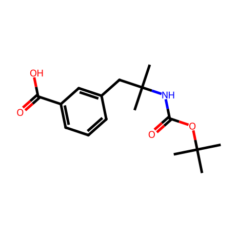 CC(C)(Cc1cccc(C(=O)O)c1)NC(=O)OC(C)(C)C